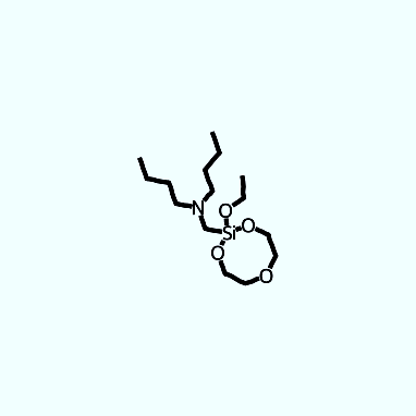 CCCCN(CCCC)C[Si]1(OCC)OCCOCCO1